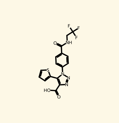 O=C(NCC(F)(F)F)c1ccc(-n2nnc(C(=O)O)c2-c2cccs2)cc1